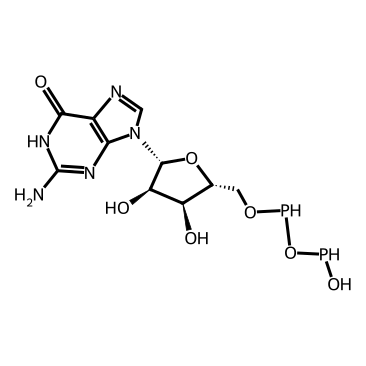 Nc1nc2c(ncn2[C@@H]2O[C@H](COPOPO)[C@@H](O)[C@H]2O)c(=O)[nH]1